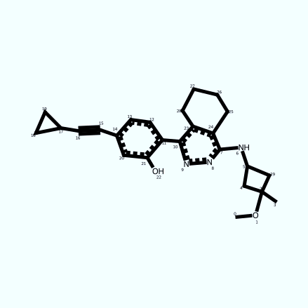 COC1(C)CC(Nc2nnc(-c3ccc(C#CC4CC4)cc3O)c3c2CCCC3)C1